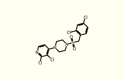 O=S(=O)(Cc1ccc(Cl)cc1Cl)N1CCN(c2ccnc(Cl)c2Cl)CC1